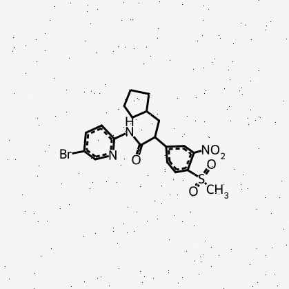 CS(=O)(=O)c1ccc(C(CC2CCCC2)C(=O)Nc2ccc(Br)cn2)cc1[N+](=O)[O-]